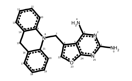 Nc1nc(N)c2c(CN3c4ccccc4Cc4ccccc43)coc2n1